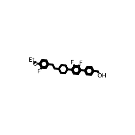 CCOc1ccc(CCC2CCC(c3ccc(-c4ccc(CO)cc4)c(F)c3F)CC2)cc1F